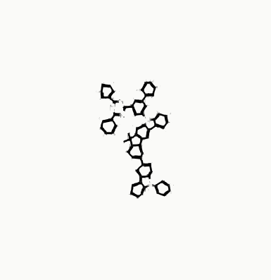 CC1(C)c2ccc(-c3ccc4c(c3)c3ccccc3n4-c3ccccc3)cc2-c2cc3c4ccccc4n(-c4cc(-c5ccccc5)cc(-c5nc(-c6ccccc6)nc(-c6ccccc6)n5)c4)c3cc21